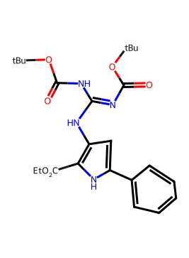 CCOC(=O)c1[nH]c(-c2ccccc2)cc1NC(=NC(=O)OC(C)(C)C)NC(=O)OC(C)(C)C